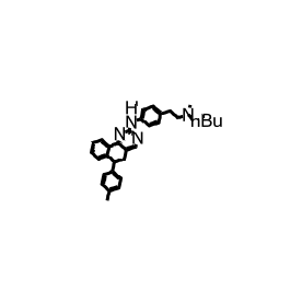 CCCCN(C)CCc1ccc(Nc2ncc3c(n2)-c2ccccc2C(c2ccc(C)cc2)C3)cc1